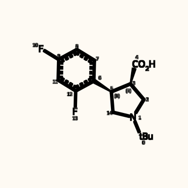 CC(C)(C)N1C[C@H](C(=O)O)[C@H](c2ccc(F)cc2F)C1